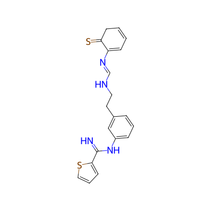 N=C(Nc1cccc(CCNC=NC2=CC=CCC2=S)c1)c1cccs1